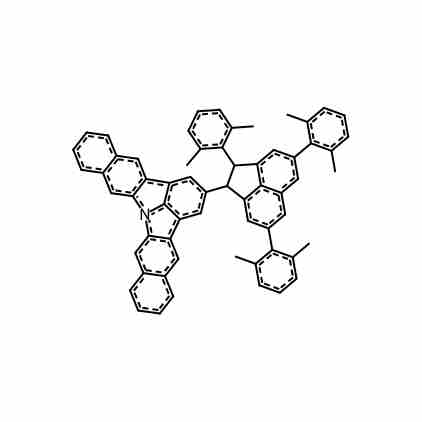 Cc1cccc(C)c1-c1cc2c3c(cc(-c4c(C)cccc4C)cc3c1)C(c1c(C)cccc1C)C2c1cc2c3cc4ccccc4cc3n3c4cc5ccccc5cc4c(c1)c23